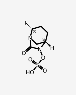 O=C1N2C[C@H](CC[C@H]2I)N1OS(=O)(=O)O